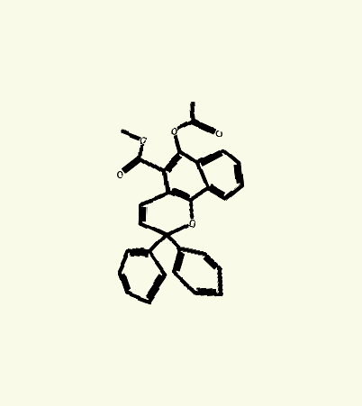 COC(=O)c1c2c(c3ccccc3c1OC(C)=O)OC(c1ccccc1)(c1ccccc1)C=C2